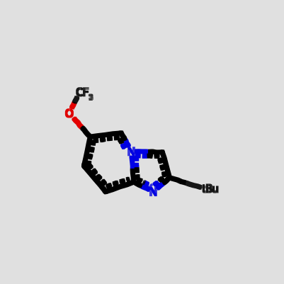 CC(C)(C)c1cn2cc(OC(F)(F)F)ccc2n1